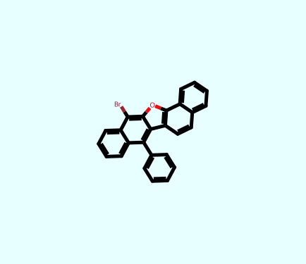 Brc1c2ccccc2c(-c2ccccc2)c2c1oc1c3ccccc3ccc12